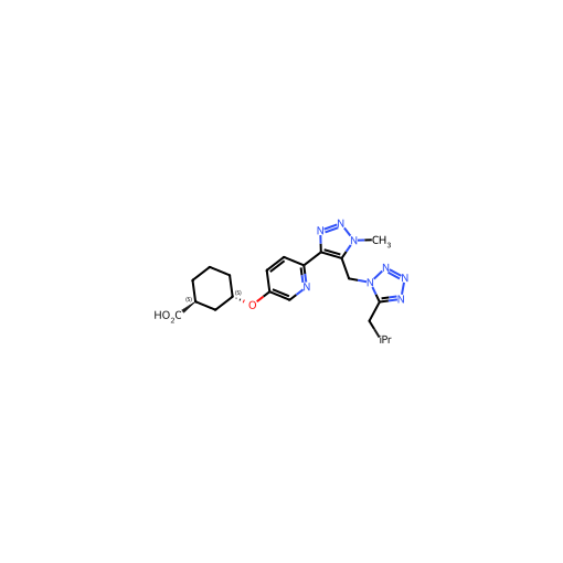 CC(C)Cc1nnnn1Cc1c(-c2ccc(O[C@H]3CCC[C@H](C(=O)O)C3)cn2)nnn1C